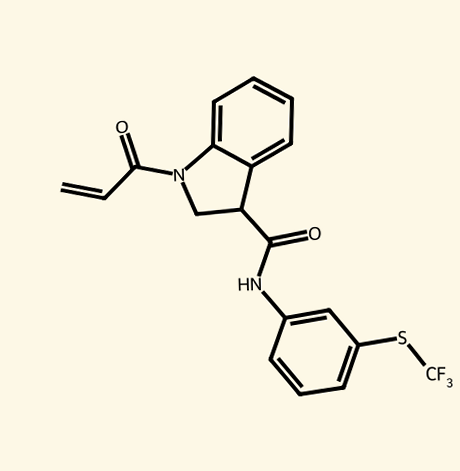 C=CC(=O)N1CC(C(=O)Nc2cccc(SC(F)(F)F)c2)c2ccccc21